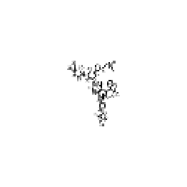 CN(C)CCOc1cc(-c2cnc3c(n2)c(C(=O)C(C)(C)C)cn3COCC[Si](C)(C)C)cc(N2CCC(C)(C)C2)c1